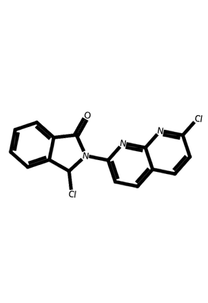 O=C1c2ccccc2C(Cl)N1c1ccc2ccc(Cl)nc2n1